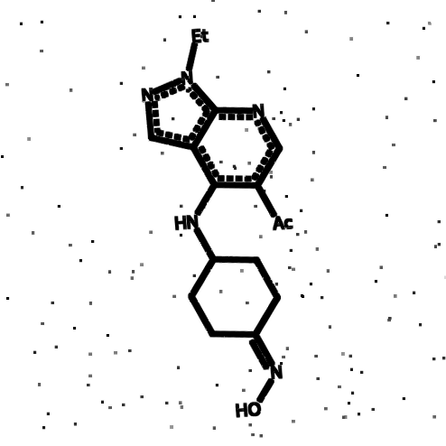 CCn1ncc2c(NC3CCC(=NO)CC3)c(C(C)=O)cnc21